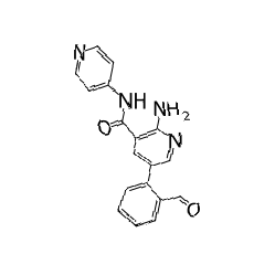 Nc1ncc(-c2ccccc2C=O)cc1C(=O)Nc1ccncc1